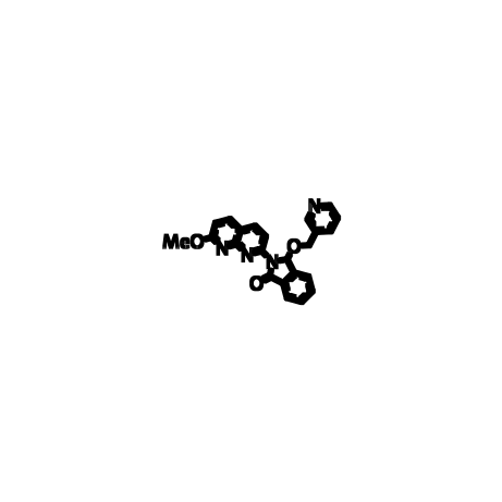 COc1ccc2ccc(N3C(=O)c4ccccc4C3OCc3cccnc3)nc2n1